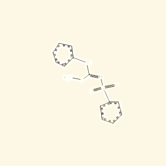 CS/C(=N\S(=O)(=O)c1ccccc1)Nc1ccccc1